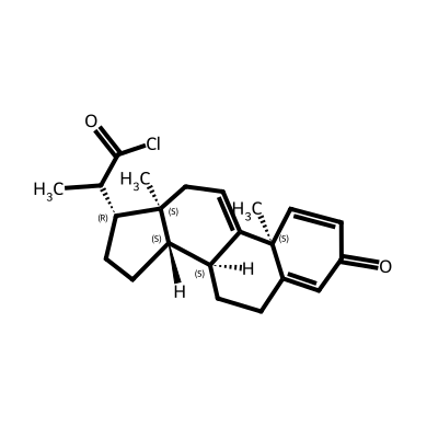 CC(C(=O)Cl)[C@H]1CC[C@H]2[C@@H]3CCC4=CC(=O)C=C[C@]4(C)C3=CC[C@]12C